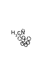 CC(CN1CCCC1)c1cccc2c(=O)c3c(=O)oc4ccccc4c3oc12